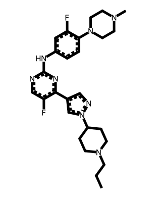 CCCN1CCC(n2cc(-c3nc(Nc4ccc(N5CCN(C)CC5)c(F)c4)ncc3F)cn2)CC1